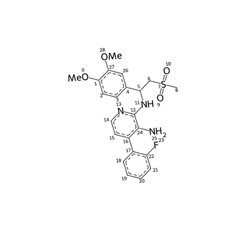 COc1ccc(C(CS(C)(=O)=O)Nc2nccc(-c3ccccc3F)c2N)cc1OC